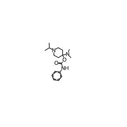 CC(C)N1CCC(OC(=O)Nc2ccccc2)(N(C)C)CC1